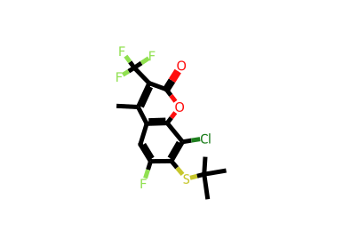 Cc1c(C(F)(F)F)c(=O)oc2c(Cl)c(SC(C)(C)C)c(F)cc12